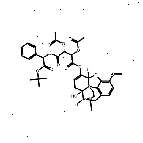 COc1ccc2c3c1O[C@H]1C(OC(=O)[C@H](OC(C)=O)[C@@H](OC(C)=O)C(=O)OC(C(=O)OC(C)(C)C)c4ccccc4)=CC[C@@]4(O)[C@@H](C2)N(C)CC[C@]314